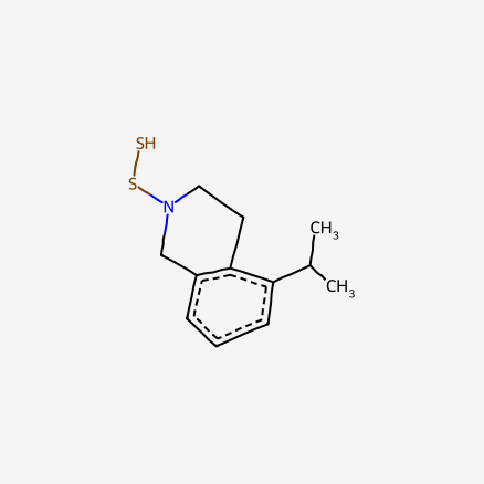 CC(C)c1cccc2c1CCN(SS)C2